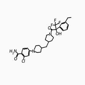 CCc1cccc(C(O)(C(=O)N2CCC(CC3CCN(c4ccc(C(N)=O)c(Cl)c4)CC3)CC2)C(F)(F)F)c1